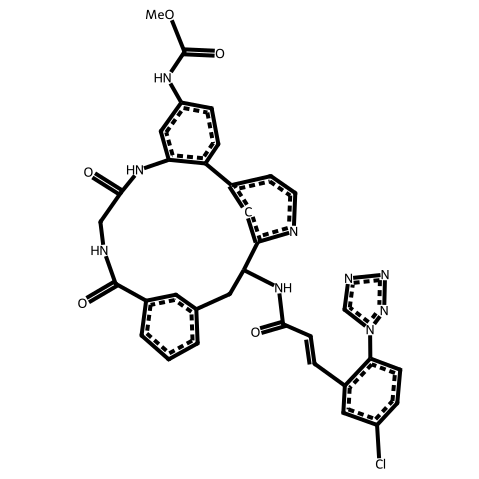 COC(=O)Nc1ccc2c(c1)NC(=O)CNC(=O)c1cccc(c1)CC(NC(=O)/C=C/c1cc(Cl)ccc1-n1cnnn1)c1cc-2ccn1